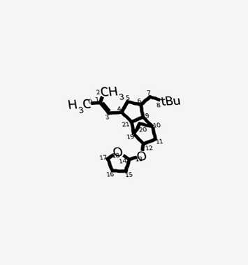 CC(C)=CC1CC(CC(C)(C)C)C2C3CC(OC4CCCO4)C(C3)C12